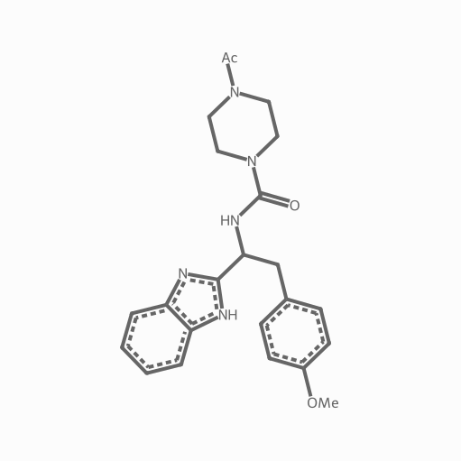 COc1ccc(CC(NC(=O)N2CCN(C(C)=O)CC2)c2nc3ccccc3[nH]2)cc1